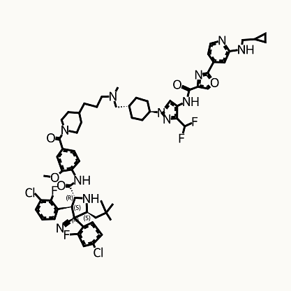 COc1cc(C(=O)N2CCC(CCCN(C)C[C@H]3CC[C@H](n4cc(NC(=O)c5coc(-c6ccnc(NCC7CC7)c6)n5)c(C(F)F)n4)CC3)CC2)ccc1NC(=O)[C@@H]1N[C@@H](CC(C)(C)C)[C@](C#N)(c2ccc(Cl)cc2F)[C@H]1c1cccc(Cl)c1F